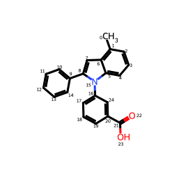 Cc1cccc2c1cc(-c1ccccc1)n2-c1cccc(C(=O)O)c1